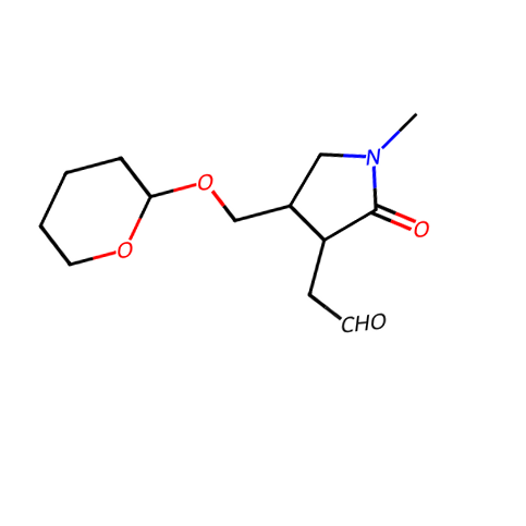 CN1CC(COC2CCCCO2)C(CC=O)C1=O